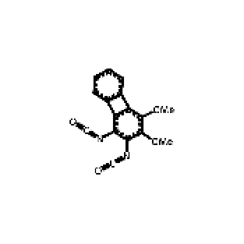 COc1c(N=C=O)c(N=C=O)c2c(c1OC)-c1ccccc1-2